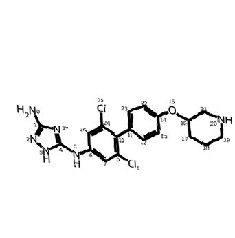 Nc1n[nH]c(Nc2cc(Cl)c(-c3ccc(OC4CCCNC4)cc3)c(Cl)c2)n1